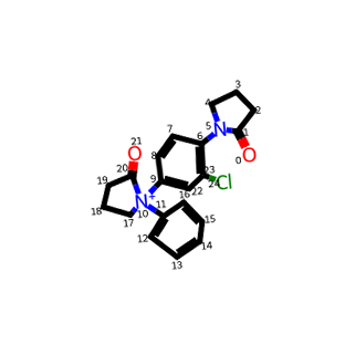 O=C1CCCN1c1ccc([N+]2(c3ccccc3)CCCC2=O)cc1Cl